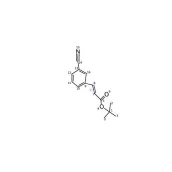 CC(C)(C)OC(=O)/C=C/c1cccc(C#N)c1